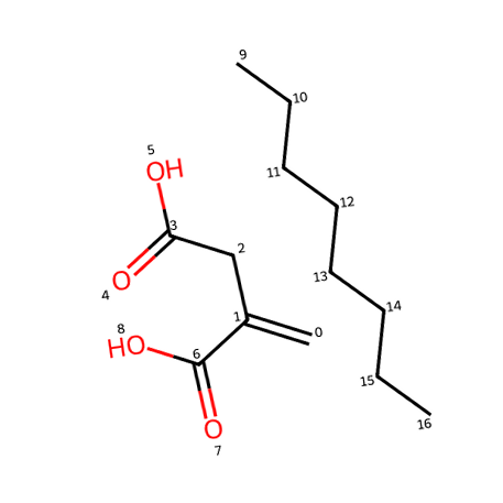 C=C(CC(=O)O)C(=O)O.CCCCCCCC